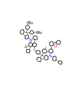 Cc1ccc(C2(c3ccc(Cc4ccc(-c5ccccc5N(c5ccc6c(c5)C(C)(C)c5ccccc5-6)c5ccc6c(c5)C(c5ccc(C(C)(C)C)cc5)(c5ccc(C(C)(C)C)cc5)c5ccccc5-6)cc4)cc3)c3ccccc3-c3ccc(N(c4ccc(-c5ccccc5)cc4)c4ccc(-c5cccc6c5oc5ccccc56)cc4)cc32)cc1